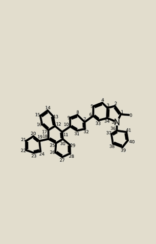 Cc1cc2ccc(-c3ccc(-c4c5ccccc5c(-c5ccccc5)c5ccccc45)cc3)cc2n1-c1ccccc1